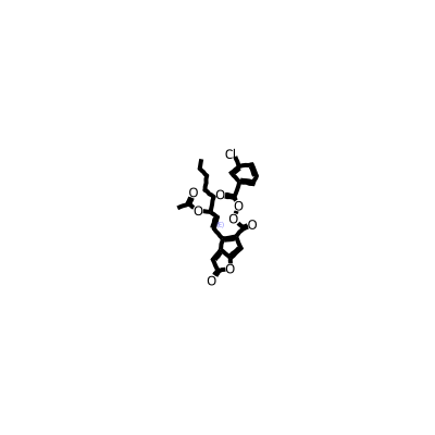 CCCCCC(/C=C/C1=C(C(=O)OOC(=O)c2cccc(Cl)c2)C=C2OC(=O)C=C21)OC(C)=O